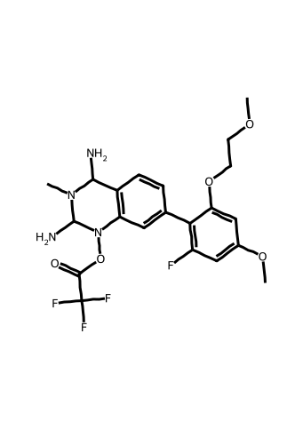 COCCOc1cc(OC)cc(F)c1-c1ccc2c(c1)N(OC(=O)C(F)(F)F)C(N)N(C)C2N